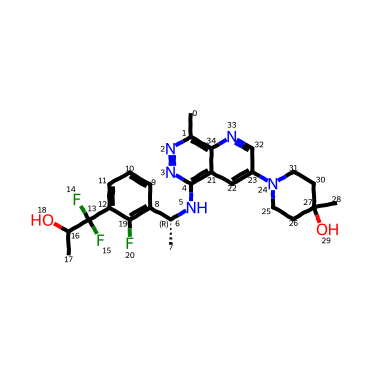 Cc1nnc(N[C@H](C)c2cccc(C(F)(F)C(C)O)c2F)c2cc(N3CCC(C)(O)CC3)cnc12